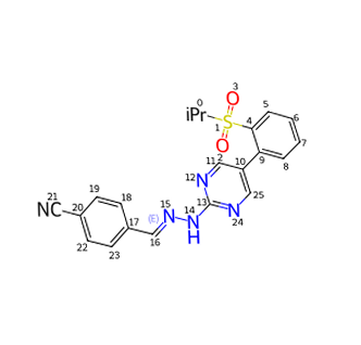 CC(C)S(=O)(=O)c1ccccc1-c1cnc(N/N=C/c2ccc(C#N)cc2)nc1